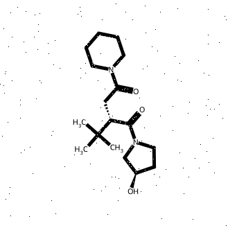 CC(C)(C)[C@H](CC(=O)N1CCCCC1)C(=O)N1CC[C@@H](O)C1